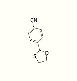 N#Cc1ccc(C2OCCS2)cc1